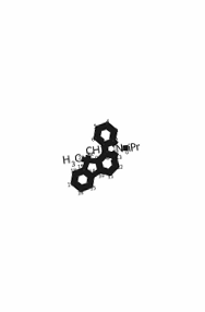 CC(C)n1c2ccccc2c2c3c(ccc21)-c1ccccc1C3(C)C